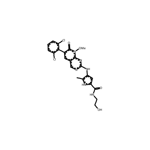 COn1c(=O)c(-c2c(Cl)cccc2Cl)cc2cnc(Nc3cc(C(=O)NCCO)[nH]c3C)nc21